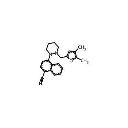 Cc1cc(CN2CCCCN2c2ccc(C#N)c3ccccc23)oc1C